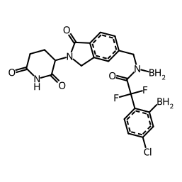 Bc1cc(Cl)ccc1C(F)(F)C(=O)N(B)Cc1ccc2c(c1)CN(C1CCC(=O)NC1=O)C2=O